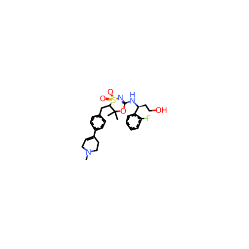 CN1CC=C(c2ccc(CC3C(C)(C)OC(N[C@@H](CCO)c4ccccc4F)=NS3(=O)=O)cc2)CC1